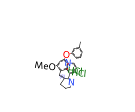 COc1cc(Oc2cccc(C)c2)ccc1/C=C1/CCCN=C1c1cccnc1.Cl.Cl